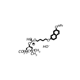 CCCOc1ccc2ccc(OCCCCOP(=O)(O)O[C@H](CC(=O)O)C[N+](C)(C)C)cc2c1.[OH-]